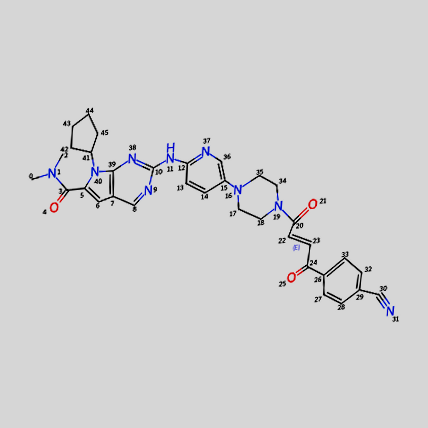 CN(C)C(=O)c1cc2cnc(Nc3ccc(N4CCN(C(=O)/C=C/C(=O)c5ccc(C#N)cc5)CC4)cn3)nc2n1C1CCCC1